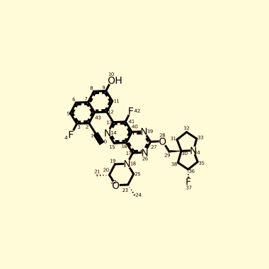 C#Cc1c(F)ccc2cc(O)cc(-c3ncc4c(N5C[C@@H](C)O[C@@H](C)C5)nc(OC[C@@]56CCCN5C[C@H](F)C6)nc4c3F)c12